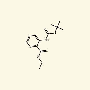 CCOC(=O)c1ccccc1NC(=O)OC(C)(C)C